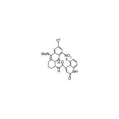 CNC(=O)c1cc(C2CC2)cc([N+](=O)[O-])c1N[C@@H]1CCCC[C@@H]1NC(=O)c1cc(=O)[nH]c2cccc(F)c12